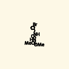 COC(CNCC(=O)NCCc1cccc(Br)c1)OC